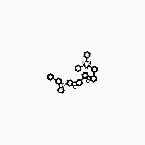 c1ccc(-c2ccc3c(c2)c2ccccc2n3-c2ccc3c(c2)oc2ccc(-c4cccc5c4oc4cccc(-c6cccc(-c7nc(-c8ccccc8)nc(-c8ccccc8)n7)c6)c45)cc23)cc1